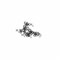 CCn1nc(C)cc1C(=O)Nc1nc2cc(C(N)=O)cc(OC)c2n1CCc1ccc(OP(=O)(OCOC(=O)C(C)(C)C)OCOC(=O)C(C)(C)C)cc1